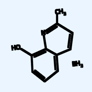 B.Cc1ccc2cccc(O)c2n1